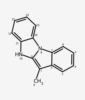 Cc1c2ccccc2n2c1[nH]c1ccccc12